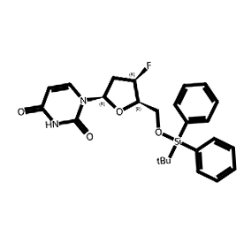 CC(C)(C)[Si](OC[C@H]1O[C@@H](n2ccc(=O)[nH]c2=O)C[C@H]1F)(c1ccccc1)c1ccccc1